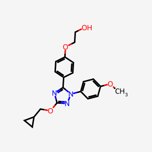 COc1ccc(-n2nc(OCC3CC3)nc2-c2ccc(OCCO)cc2)cc1